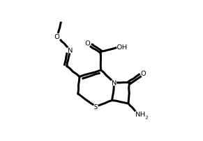 CON=CC1=C(C(=O)O)N2C(=O)C(N)C2SC1